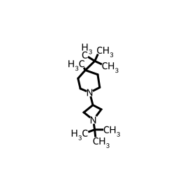 CC(C)(C)N1CC(N2CCC(C)(C(C)(C)C)CC2)C1